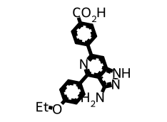 CCOc1ccc(-c2nc(-c3ccc(C(=O)O)cc3)cc3[nH]nc(N)c23)cc1